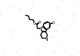 CCCCOC(=O)Cn1c2c(c3cc(Cl)ccc31)CN(C)CC2